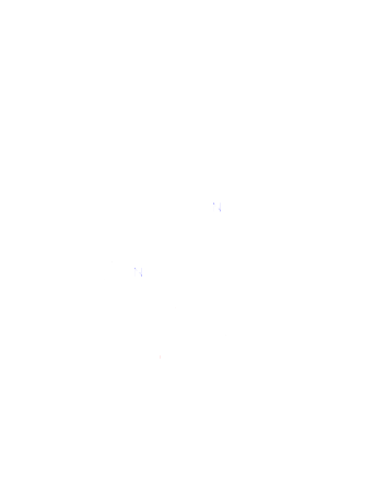 c1ccc(-c2cc(-c3ccccc3)nc(-c3ccc(-n4c5ccccc5c5ccc6c(c54)Oc4ccccc4O6)cc3)c2)cc1